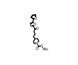 CC(C)(C)OC(=O)N1CCC(CCCC(=O)c2ncc(-c3ccco3)o2)CC1